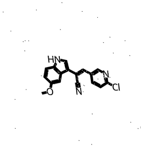 COc1ccc2[nH]cc(/C(C#N)=C/c3ccc(Cl)nc3)c2c1